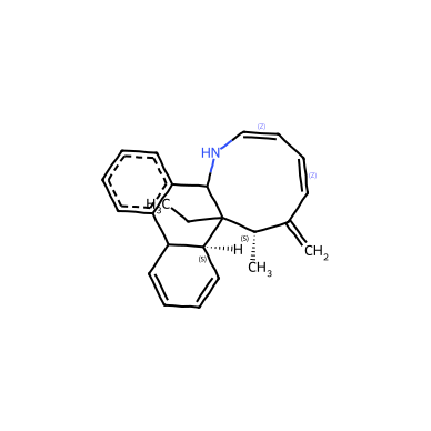 C=C1/C=C\C=C/NC2c3ccccc3C3C=CC=C[C@@H]3C2(CC)[C@H]1C